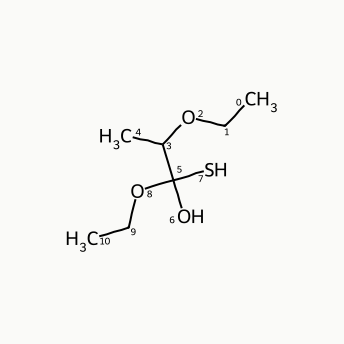 CCOC(C)C(O)(S)OCC